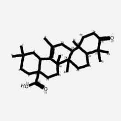 CC1=C2C3CC(C)(C)CCC3(C(=O)O)CCC2(C)C2(C)CCC3C(C)(C)C(=O)CCC3(C)C2C1